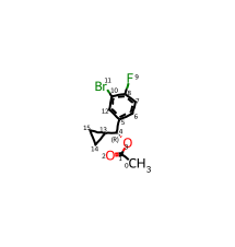 CC(=O)O[C@@H](c1ccc(F)c(Br)c1)C1CC1